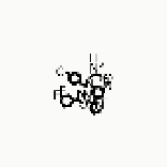 N[C@@H]1CN(Cc2ccc(Cl)cc2)c2cc(C3(c4nnc(C5CCCC(F)(F)C5)o4)C=CC=N3)c(F)cc2S(=O)(=O)C1